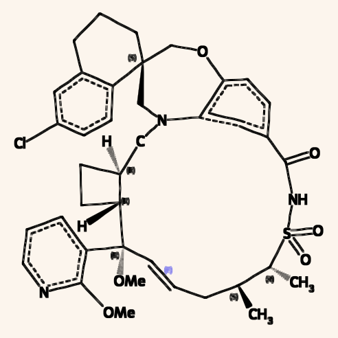 COc1ncccc1[C@]1(OC)/C=C/C[C@H](C)[C@@H](C)S(=O)(=O)NC(=O)c2ccc3c(c2)N(C[C@@H]2CC[C@H]21)C[C@@]1(CCCc2cc(Cl)ccc21)CO3